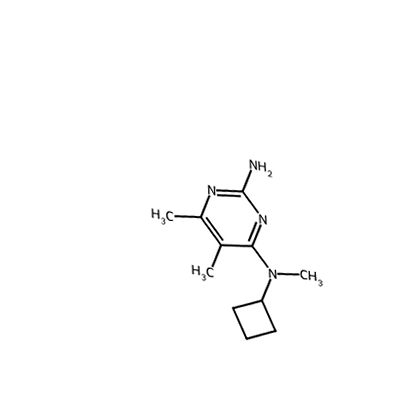 Cc1nc(N)nc(N(C)C2CCC2)c1C